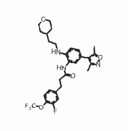 Cc1noc(C)c1-c1ccc(NCCC2CCOCC2)c(NC(=O)CCc2ccc(OC(F)(F)F)c(F)c2)c1